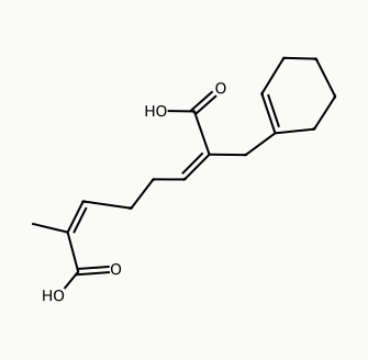 CC(=CCCC=C(CC1=CCCCC1)C(=O)O)C(=O)O